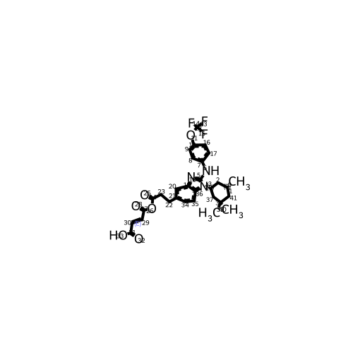 C[C@H]1C[C@@H](n2c(Nc3ccc(OC(F)(F)F)cc3)nc3cc(CCC(=O)OC(=O)/C=C/C(=O)O)ccc32)CC(C)(C)C1